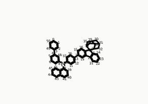 c1ccc(-c2cccc(N(c3ccc(-c4ccc5c(c4)-c4ccccc4C54C5CC6CC(C5)CC4C6)cc3)c3cccc4ccccc34)c2)cc1